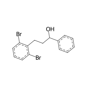 OC(CCc1c(Br)cccc1Br)c1ccccc1